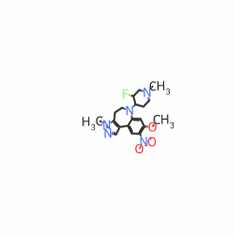 COc1cc2c(cc1[N+](=O)[O-])-c1cnn(C)c1CCN2C1CCN(C)CC1F